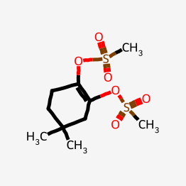 CC1(C)CCC(OS(C)(=O)=O)=C(OS(C)(=O)=O)C1